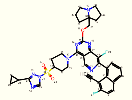 C#Cc1c(F)ccc2cccc(-c3ncc4c(N5CCC(S(=O)(=O)n6cnc(C7CC7)n6)CC5)nc(OCC56CCCN5CCC6)nc4c3F)c12